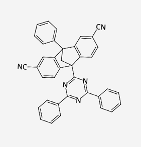 N#Cc1ccc2c(c1)C1(c3ccccc3)CC2(c2nc(-c3ccccc3)nc(-c3ccccc3)n2)c2ccc(C#N)cc21